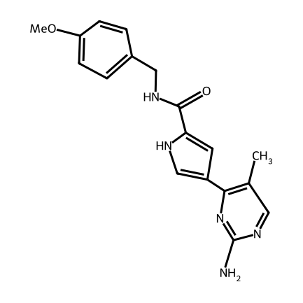 COc1ccc(CNC(=O)c2cc(-c3nc(N)ncc3C)c[nH]2)cc1